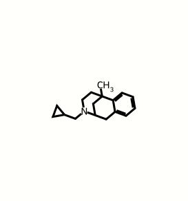 CC12CCN(CC3CC3)C(Cc3ccccc31)C2